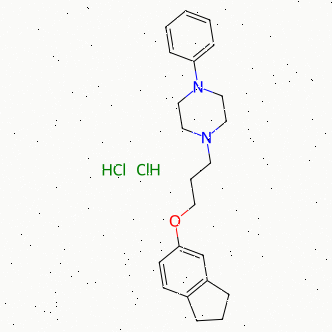 Cl.Cl.c1ccc(N2CCN(CCCOc3ccc4c(c3)CCC4)CC2)cc1